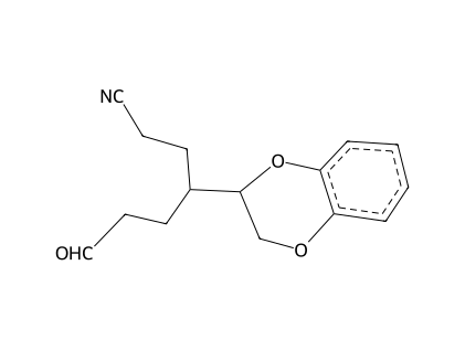 N#CCCC(CCC=O)C1COc2ccccc2O1